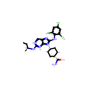 CC[C@H](C)Nc1ncc2nc(Nc3c(F)cc(Cl)cc3Cl)n([C@H]3CC[C@@H](C(N)=O)CC3)c2n1